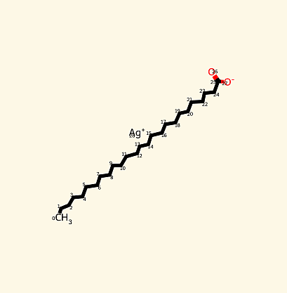 CCCCCCCCCCCCCCCCCCCCCCCCCC(=O)[O-].[Ag+]